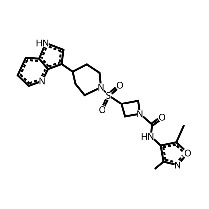 Cc1noc(C)c1NC(=O)N1CC(S(=O)(=O)N2CCC(c3c[nH]c4cccnc34)CC2)C1